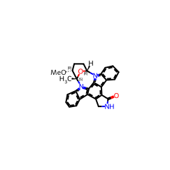 CO[C@@H]1CC[C@H]2O[C@]1(C)n1c3ccccc3c3c4c(c5c6ccccc6n2c5c31)C(=O)NC4